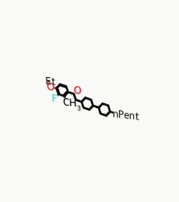 CCCCCC1CCC(C2CCC(CC(=O)c3ccc(OCC)c(F)c3C)CC2)CC1